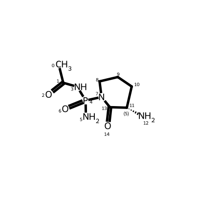 CC(=O)NP(N)(=O)N1CCC[C@H](N)C1=O